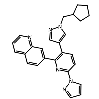 c1cnc2cc(-c3nc(-n4cccn4)ccc3-c3cnn(CC4CCCC4)c3)ccc2c1